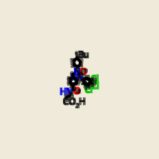 CC(C)(C)C1CCC(N(Cc2ccc(C(=O)NCCC(=O)O)cc2)C(=O)Nc2cc(Cl)c(Cl)c(Cl)c2)CC1